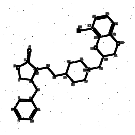 O=C1OCC(Cc2ccccc2)N1CCC1CCN(CC2COc3cccc(Br)c3O2)CC1